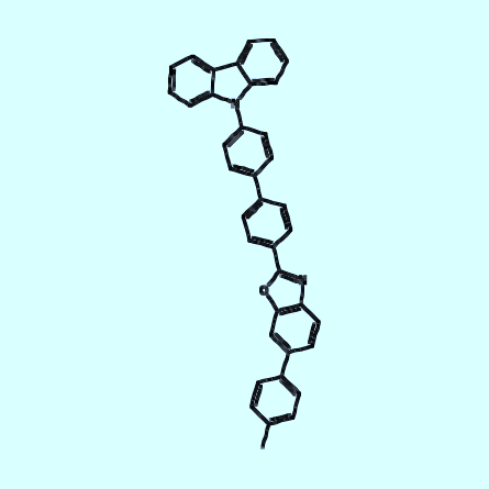 Cc1ccc(-c2ccc3nc(-c4ccc(-c5ccc(-n6c7ccccc7c7ccccc76)cc5)cc4)oc3c2)cc1